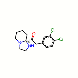 O=C(Cc1ccc(Cl)c(Cl)c1)[C@@]12CCCCN1CCN2